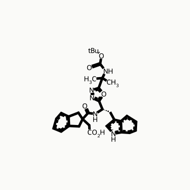 CC(C)(C)OC(=O)NC(C)(C)c1nnc([C@H](Cc2c[nH]c3ccccc23)NC(=O)C2(CC(=O)O)Cc3ccccc3C2)o1